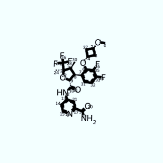 CO[C@H]1C[C@H](Oc2c([C@H]3[C@H](C(=O)Nc4ccnc(C(N)=O)c4)O[C@@](C)(C(F)(F)F)[C@H]3C)ccc(F)c2F)C1